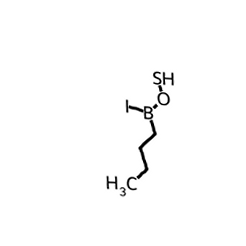 CCCCB(I)OS